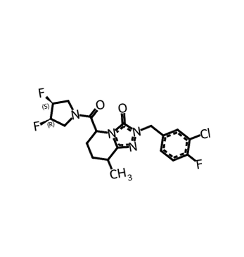 CC1CCC(C(=O)N2C[C@@H](F)[C@@H](F)C2)n2c1nn(Cc1ccc(F)c(Cl)c1)c2=O